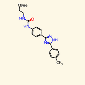 COCCNC(=O)Nc1ccc(-c2n[nH]c(-c3ccc(C(F)(F)F)cc3)n2)cc1